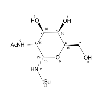 CC(=O)N[C@@H]1[C@@H](O)[C@@H](O)[C@@H](CO)O[C@@H]1NC(C)(C)C